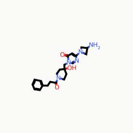 NC1CN(c2cc(=O)n(CC3(O)CCN(C(=O)CCc4ccccc4)CC3)cn2)C1